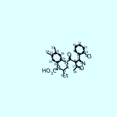 CCC1CN(C(=O)c2c(-c3ccccc3Cl)noc2C)c2cc(C)c(C)cc2N1C(=O)O